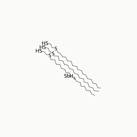 CCCCCCCCCCCCCCCCCCSCCS.CCCCCCCCCCCCCCCCCCSCCS.CCCCCCCCCCCCCCCCCCSCCS.[SbH3]